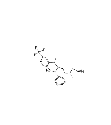 CC1c2cc(C(F)(F)F)ccc2N[C@@H](c2ccccc2)[C@@H]1CC[C@@H](C)CC#N